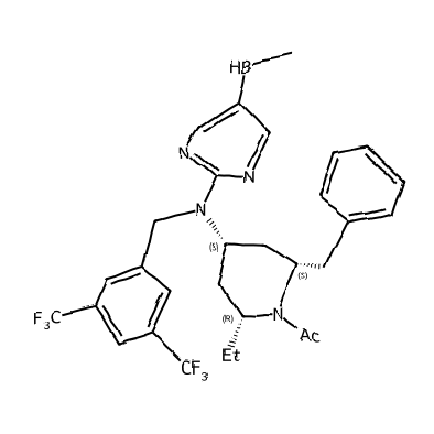 CBc1cnc(N(Cc2cc(C(F)(F)F)cc(C(F)(F)F)c2)[C@H]2C[C@@H](CC)N(C(C)=O)[C@@H](Cc3ccccc3)C2)nc1